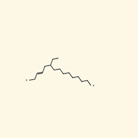 [CH2]C/C=C/CC(CC)CCCCCCCC[CH2]